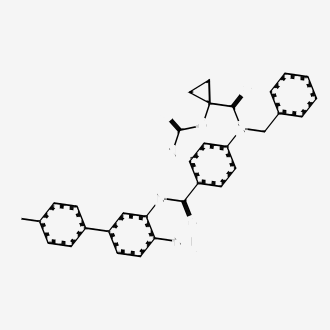 NC(=O)OC1(C(=O)N(Cc2ccccc2)c2ccc(C(=O)Nc3cc(-c4ccc(F)cc4)ccc3N)cc2)CC1